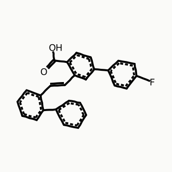 O=C(O)c1ccc(-c2ccc(F)cc2)cc1/C=C/c1ccccc1-c1ccccc1